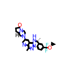 Cc1nnc(N[C@H](C)c2cccc(C(F)(F)OC3CC3)c2)c2cc(N3CCN4C(=O)CC[C@@H]4C3)cnc12